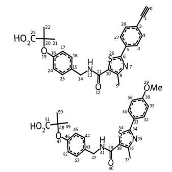 C#Cc1ccc(-c2nc(C)c(C(=O)NCc3ccc(OC(C)(C)C(=O)O)cc3)s2)cc1.COc1ccc(-c2nc(C)c(C(=O)NCc3ccc(OC(C)(C)C(=O)O)cc3)s2)cc1